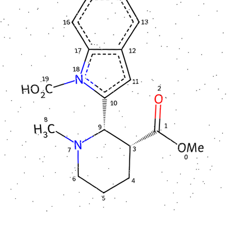 COC(=O)[C@@H]1CCCN(C)[C@@H]1c1cc2ccccc2n1C(=O)O